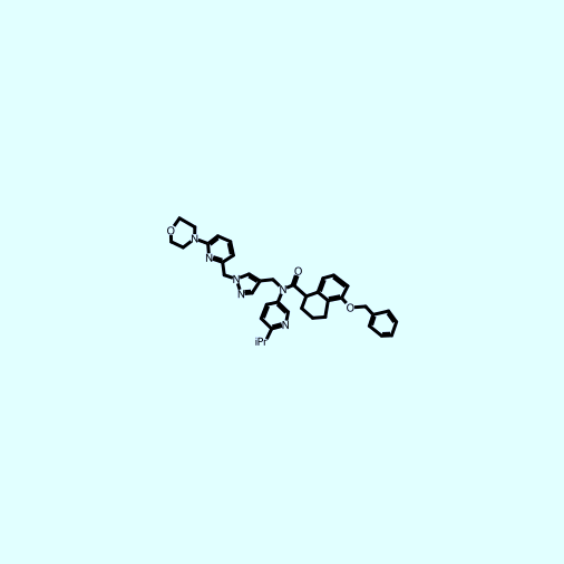 CC(C)c1ccc(N(Cc2cnn(Cc3cccc(N4CCOCC4)n3)c2)C(=O)C2CCCc3c(OCc4ccccc4)cccc32)cn1